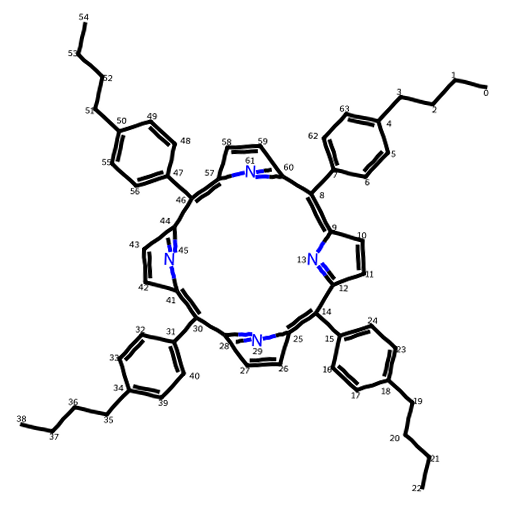 CCCCc1ccc(C2=C3C=CC(=N3)C(c3ccc(CCCC)cc3)=C3C=CC(=N3)C(c3ccc(CCCC)cc3)=C3C=CC(=N3)C(c3ccc(CCCC)cc3)=C3C=CC2=N3)cc1